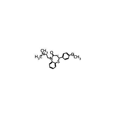 COc1ccc(C2[C]C(=O)N(CCN(C)C)c3ccccc3S2)cc1